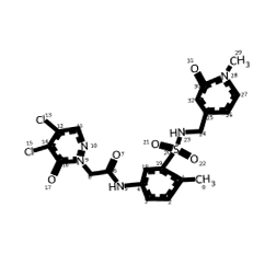 Cc1ccc(NC(=O)Cn2ncc(Cl)c(Cl)c2=O)cc1S(=O)(=O)NCc1ccn(C)c(=O)c1